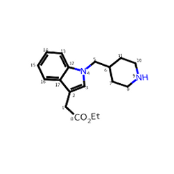 CCOC(=O)Cc1cn(CC2CCNCC2)c2ccccc12